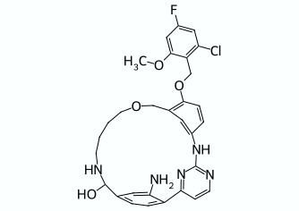 COc1cc(F)cc(Cl)c1COc1ccc2cc1COCCCCNC(O)c1ccc(c(N)c1)-c1ccnc(n1)N2